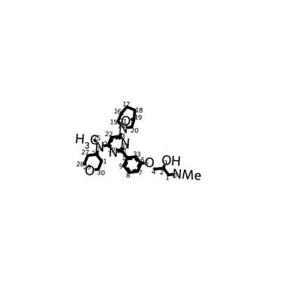 CNCC(O)COc1cccc(-c2nc(N3CC4CCC(C3)O4)cc(N(C)C3CCOCC3)n2)c1